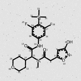 CN(C(=O)Cc1cc(O)no1)C(C(=O)Nc1cc(F)c([Si](C)(C)C)c(F)c1)C1CCOCC1